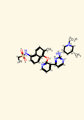 Cc1ccc2c(NS(=O)(=O)CC(C)C)cccc2c1Oc1ncccc1-c1ccnc(N[C@H]2C[C@@H](C)CN(C(=O)O)C2)n1